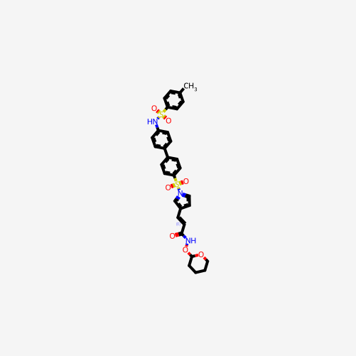 Cc1ccc(S(=O)(=O)Nc2ccc(-c3ccc(S(=O)(=O)n4ccc(/C=C/C(=O)NOC5CCCCO5)c4)cc3)cc2)cc1